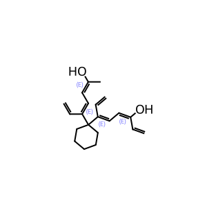 C=C/C(O)=C\C=C(/C=C)C1(/C(C=C)=C/C=C(\C)O)CCCCC1